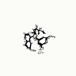 C=C[C@H]1C[N+]2(Cc3cc(Cl)nc(OC)c3)CC[C@H]1C[C@H]2[C@H](O)c1ccnc2ccc(OC)cc12.[Cl-]